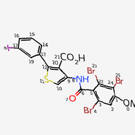 COc1cc(Br)c(C(=O)Nc2csc(-c3cccc(I)c3)c2C(=O)O)c(Br)c1Br